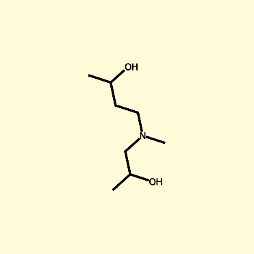 CC(O)CCN(C)CC(C)O